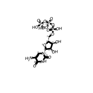 Nc1cn([C@@H]2O[C@H](COP(=O)(O)OP(=O)(O)OP(=O)(O)O)[C@@H](O)[C@H]2O)c(=O)[nH]c1=O